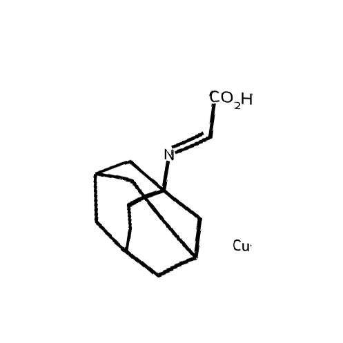 O=C(O)/C=N/C12CC3CC(CC(C3)C1)C2.[Cu]